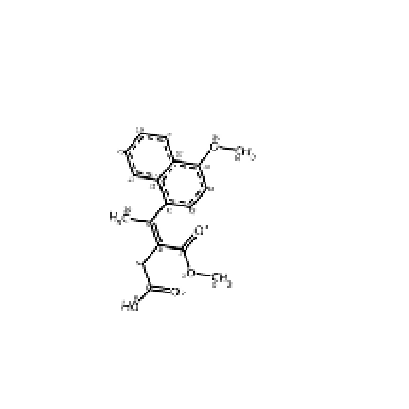 COC(=O)C(CC(=O)O)=C(C)c1ccc(OC)c2ccccc12